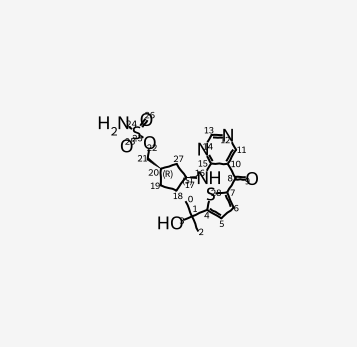 CC(C)(O)c1ccc(C(=O)c2cncnc2N[C@H]2CC[C@@H](COS(N)(=O)=O)C2)s1